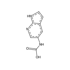 O=C(O)Nc1cnc2[nH]ccc2c1